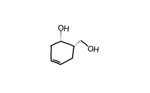 OC[C@@H]1CC=CC[C@@H]1O